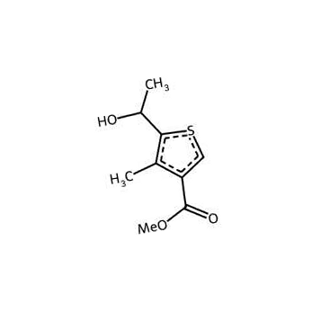 COC(=O)c1csc(C(C)O)c1C